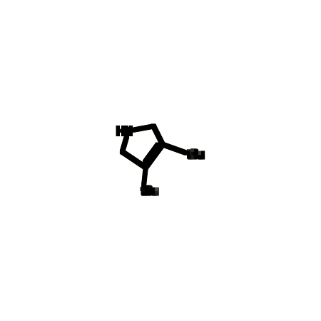 CC(C)(C)C1=C(C(C)(C)C)CNC1